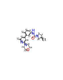 CC[C@@H]1CCN(C(=O)Nc2ccc(C)c(-c3cc(C)nc(N4CCOCC4)c3)c2)C1